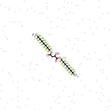 O=C(CC(O)C(=O)OC(F)(F)C(F)(F)C(F)(F)C(F)(F)C(F)(F)C(F)(F)C(F)(F)C(F)(F)F)OC(F)(F)C(F)(F)C(F)(F)C(F)(F)C(F)(F)C(F)(F)C(F)(F)C(F)(F)F